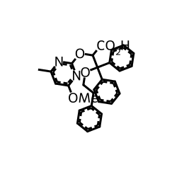 COc1cc(C)nc(OC(C(=O)O)C(OCCc2ccccc2)(c2ccccc2)c2ccccc2)n1